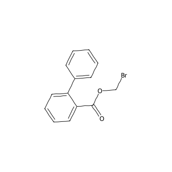 O=C(OCBr)c1ccccc1-c1ccccc1